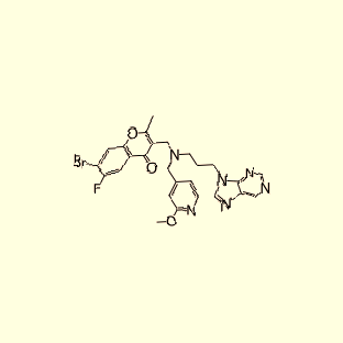 COc1cc(CN(CCCn2cnc3cncnc32)Cc2c(C)oc3cc(Br)c(F)cc3c2=O)ccn1